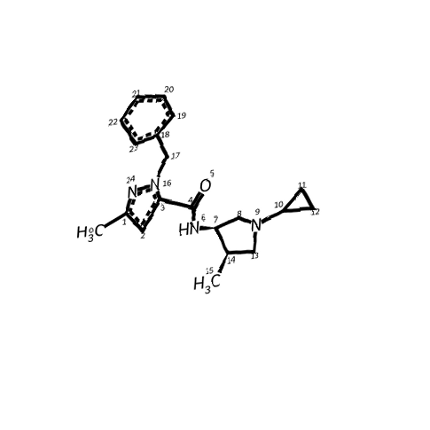 Cc1cc(C(=O)N[C@H]2CN(C3CC3)C[C@H]2C)n(Cc2ccccc2)n1